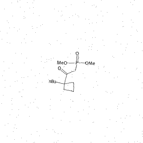 CCCCC1(C(=O)CP(=O)(OC)OC)CCC1